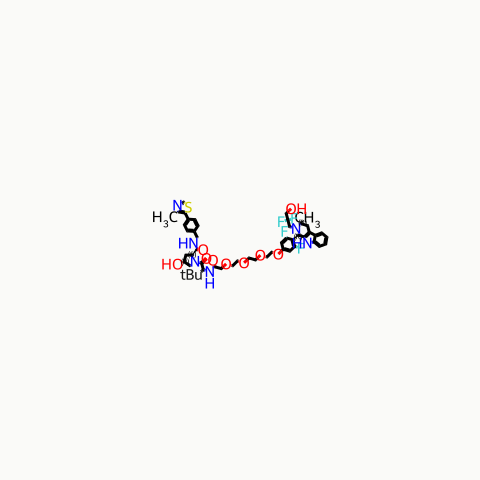 Cc1ncsc1-c1ccc(CNC(=O)[C@@H]2C[C@@H](O)CN2C(=O)C(NC(=O)COCCOCCOCCOc2cc(F)c([C@@H]3c4[nH]c5ccccc5c4C[C@@H](C)N3CC(F)(F)CO)c(F)c2)C(C)(C)C)cc1